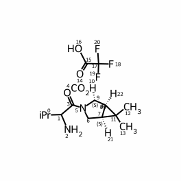 CC(C)C(N)C(=O)N1C[C@H]2[C@@H]([C@H]1C(=O)O)C2(C)C.O=C(O)C(F)(F)F